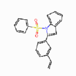 C=Cc1cccc(-c2cc3ccccc3n2S(=O)(=O)c2ccccc2)c1